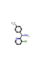 NC(c1ccc(C(F)(F)F)cc1)c1ncccc1Br